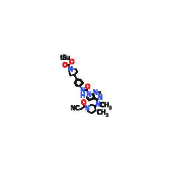 C[C@@H]1CCN(C(=O)CC#N)CC1N(C)c1ncnc2c1ccn2C(=O)Nc1ccc(C2CCN(C(=O)OC(C)(C)C)CC2)cc1